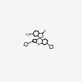 Nc1ccc2c(c1)C1(OC2=O)c2ccc(N3CCC3)cc2Oc2cc(N3CCC3)ccc21